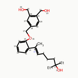 CCC(O)(CC)CCC/C=C(\C)c1ccccc1OCc1ccc(CO)c(CO)c1